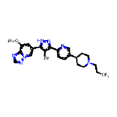 COc1cc(-c2[nH]nc(-c3ccc(C4CCN(CCC(F)(F)F)CC4)cn3)c2C(C)C)cn2ncnc12